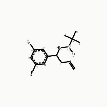 C=CCC(N[S+]([O-])C(C)(C)C)c1cc(F)cc(Br)c1